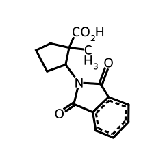 CC1(C(=O)O)CCCC1N1C(=O)c2ccccc2C1=O